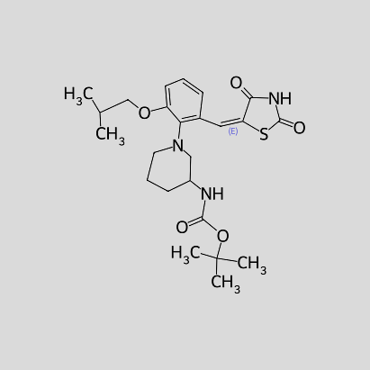 CC(C)COc1cccc(/C=C2/SC(=O)NC2=O)c1N1CCCC(NC(=O)OC(C)(C)C)C1